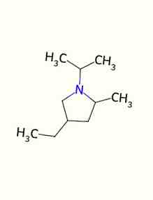 CCC1CC(C)N(C(C)C)C1